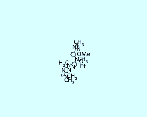 CCC(=O)c1cnc(N(C)c2cnc(C3(N(C)C)CC3)cn2)cc1N(C)c1cccc(-c2ncn(C)n2)c1OC